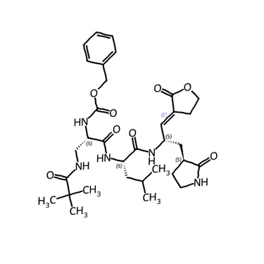 CC(C)C[C@H](NC(=O)[C@H](CNC(=O)C(C)(C)C)NC(=O)OCc1ccccc1)C(=O)N[C@H](/C=C1\CCOC1=O)C[C@@H]1CCNC1=O